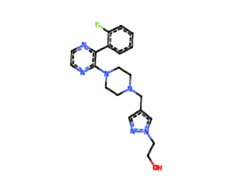 OCCn1cc(CN2CCN(c3nccnc3-c3ccccc3F)CC2)cn1